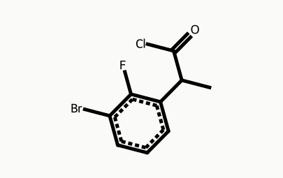 CC(C(=O)Cl)c1cccc(Br)c1F